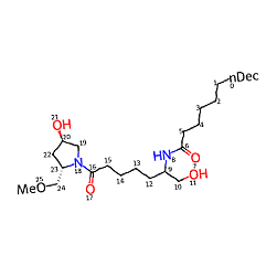 CCCCCCCCCCCCCCCC(=O)NC(CO)CCCCC(=O)N1C[C@H](O)C[C@H]1COC